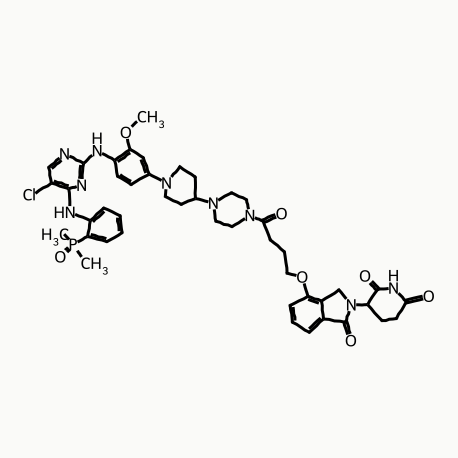 COc1cc(N2CCC(N3CCN(C(=O)CCCOc4cccc5c4CN(C4CCC(=O)NC4=O)C5=O)CC3)CC2)ccc1Nc1ncc(Cl)c(Nc2ccccc2P(C)(C)=O)n1